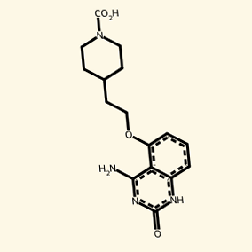 Nc1nc(=O)[nH]c2cccc(OCCC3CCN(C(=O)O)CC3)c12